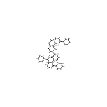 c1ccc(-c2ccc3ccc4ccc(-c5cccc6c5nc(-c5ccccc5)c5cccc(-c7cccnc7)c56)nc4c3n2)cc1